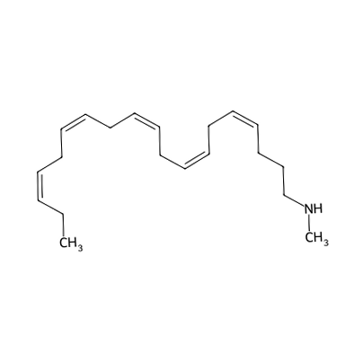 CC/C=C\C/C=C\C/C=C\C/C=C\C/C=C\CCCNC